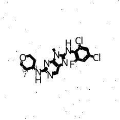 C[C@@H]1COCC[C@H]1Nc1ncc2nc(Nc3c(F)cc(Cl)cc3Cl)n(C)c2n1